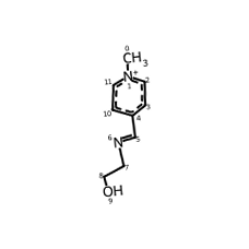 C[n+]1ccc(C=NCCO)cc1